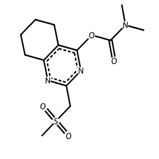 CN(C)C(=O)Oc1nc(CS(C)(=O)=O)nc2c1CCCC2